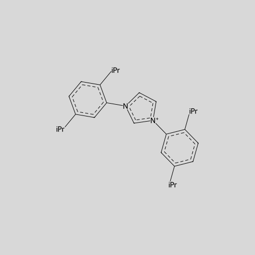 CC(C)c1ccc(C(C)C)c(-n2cc[n+](-c3cc(C(C)C)ccc3C(C)C)c2)c1